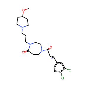 COC1CCN(CCCN2CCN(C(=O)/C=C/c3ccc(Cl)c(Cl)c3)CCC2=O)CC1